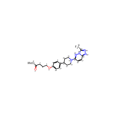 COC(=O)CCCOc1ccc(C2CCN(c3ccc4nnc(C(F)(F)F)n4n3)CC2)cc1